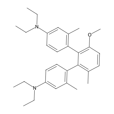 CCN(CC)c1ccc(-c2c(C)ccc(OC)c2-c2ccc(N(CC)CC)cc2C)c(C)c1